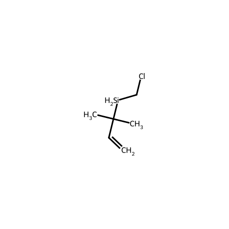 C=CC(C)(C)[SiH2]CCl